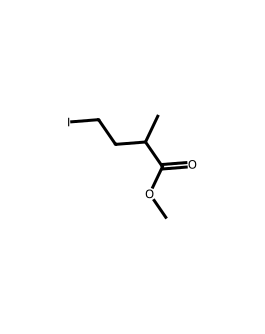 COC(=O)C(C)CCI